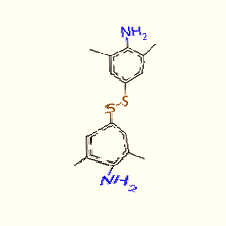 Cc1cc(SSc2cc(C)c(N)c(C)c2)cc(C)c1N